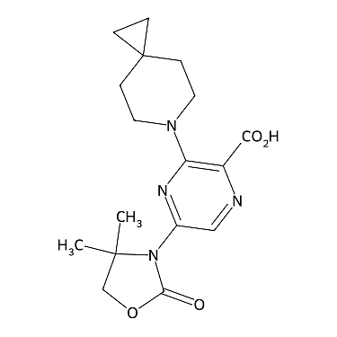 CC1(C)COC(=O)N1c1cnc(C(=O)O)c(N2CCC3(CC2)CC3)n1